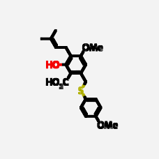 COc1ccc(SCc2cc(OC)c(CC=C(C)C)c(O)c2C(=O)O)cc1